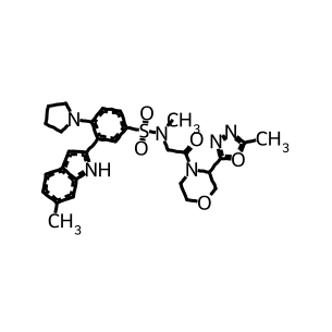 Cc1ccc2cc(-c3cc(S(=O)(=O)N(C)CC(=O)N4CCOCC4c4nnc(C)o4)ccc3N3CCCC3)[nH]c2c1